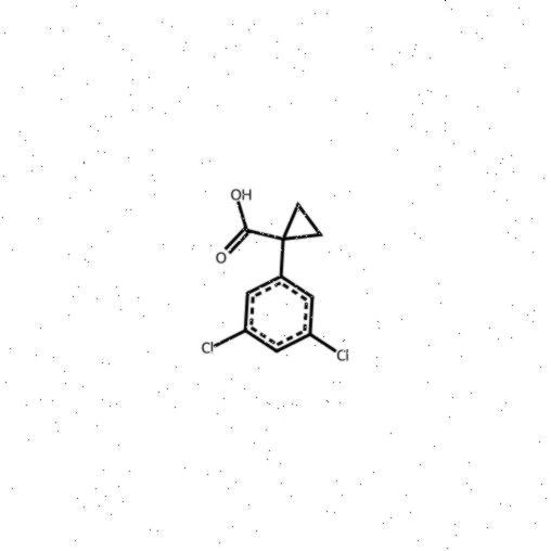 O=C(O)C1(c2cc(Cl)cc(Cl)c2)CC1